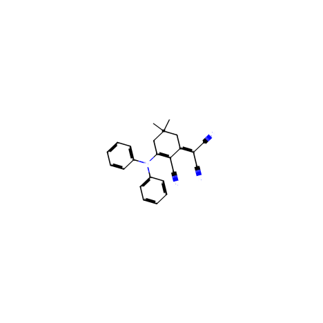 CC1(C)CC(=C(C#N)C#N)C(C#N)=C(N(c2ccccc2)c2ccccc2)C1